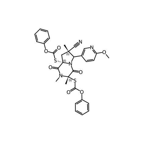 COc1ccc(C2N3C(=O)[C@](C)(SC(=O)Oc4ccccc4)N(C)C(=O)[C@@]3(SC(=O)Oc3ccccc3)C[C@]2(C)C#N)cn1